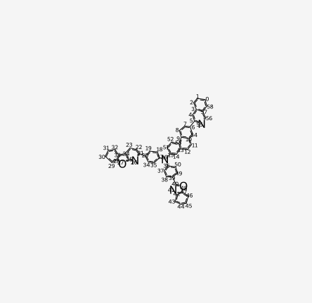 c1ccc2cc(-c3ccc4c(ccc5cc(N(c6ccc(-c7ccc8c(n7)oc7ccccc78)cc6)c6ccc(-c7nc8ccccc8o7)cc6)ccc54)c3)ncc2c1